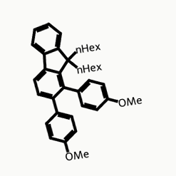 CCCCCCC1(CCCCCC)c2ccccc2-c2ccc(-c3ccc(OC)cc3)c(-c3ccc(OC)cc3)c21